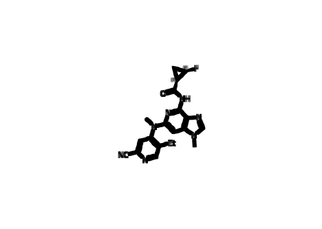 CCc1cnc(C#N)cc1N(C)c1cc2c(ncn2C)c(NC(=O)[C@H]2C[C@H]2F)n1